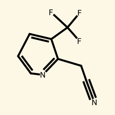 N#CCc1ncccc1C(F)(F)F